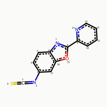 S=C=Nc1ccc2nc(-c3ccccn3)oc2c1